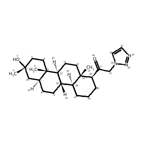 C[C@@]1(O)CC[C@@]2(C)[C@@H](CC[C@@H]3[C@@H]2CC[C@]2(C)[C@@H](C(=O)Cn4ccnn4)CCC[C@@H]32)C1